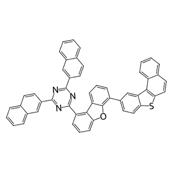 c1ccc2cc(-c3nc(-c4ccc5ccccc5c4)nc(-c4cccc5oc6c(-c7ccc8sc9ccc%10ccccc%10c9c8c7)cccc6c45)n3)ccc2c1